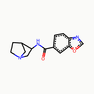 O=C(NC1CN2CCC1C2)c1ccc2ncoc2c1